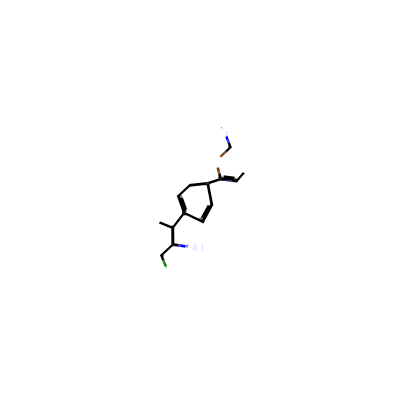 C/C=C(\SCN)C1C=CC(C(C)C(N)CF)=CC1